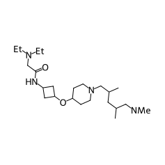 CCN(CC)CC(=O)NC1CC(OC2CCN(CC(C)CC(C)CNC)CC2)C1